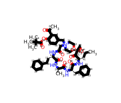 CC(=O)c1cc(C[N+]2(CC(=O)N[C@@H](CCc3ccccc3)C(=O)N[C@@H](C)C(=O)N[C@@H](Cc3ccccc3)C(=O)N[C@@H](CC(C)C)C(=O)[C@@]3(C)CO3)CCOCC2)ccc1OC(=O)C(C)(C)C